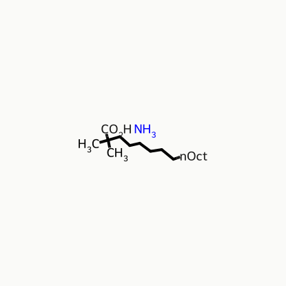 CCCCCCCCCCCCCCC(C)(C)C(=O)O.N